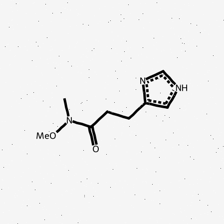 CON(C)C(=O)CCc1c[nH]cn1